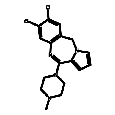 CN1CCN(C2=Nc3cc(Cl)c(Cl)cc3Cn3cccc32)CC1